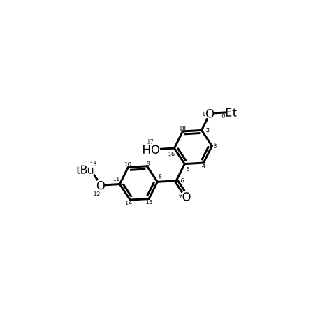 CCOc1ccc(C(=O)c2ccc(OC(C)(C)C)cc2)c(O)c1